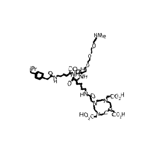 CNCCOCCOCCOCCC(=O)NC(CCCCNC(=O)CN1CCN(CC(=O)O)CCN(CC(=O)O)CCN(CC(=O)O)CC1)C(=O)NC(CCCCNC(=O)Cc1ccc(CC(C)C)cc1)C(=O)O